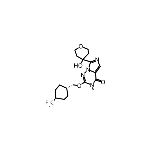 Cn1c(OC[C@H]2CC[C@H](C(F)(F)F)CC2)nn2c(C3(O)CCOCC3)ncc2c1=O